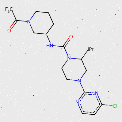 CC(C)C1CN(c2nccc(Cl)n2)CCN1C(=O)NC1CCCN(C(=O)C(F)(F)F)C1